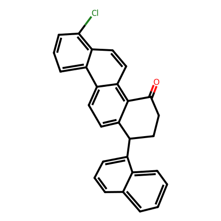 O=C1CCC(c2cccc3ccccc23)c2ccc3c(ccc4c(Cl)cccc43)c21